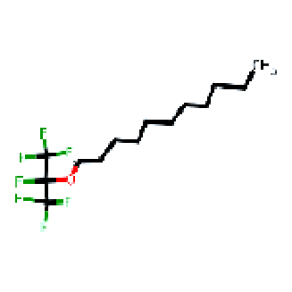 CCCCCCCCCC[CH]OC(F)(C(F)(F)F)C(F)(F)F